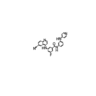 N#Cc1ccc2nccc(Nc3cc(F)cc(C(=O)Nc4cccc(Nc5ccncc5)c4)c3)c2c1